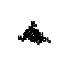 Cc1nc(CN2CCCN(C)CC2)sc1-c1csc(Nc2cc(C(N)=O)ccc2OC(C)C)n1